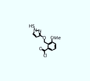 COc1cccc(C(=O)Cl)c1COc1ccn(S)n1